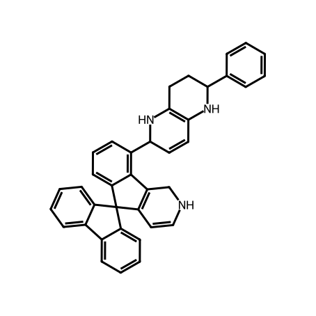 C1=CC2=C(CN1)c1c(C3C=CC4=C(CCC(c5ccccc5)N4)N3)cccc1C21c2ccccc2-c2ccccc21